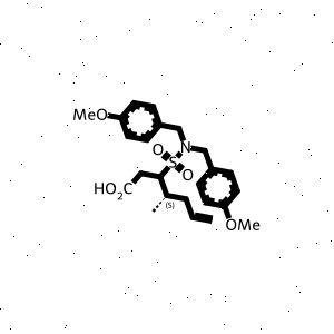 C=CC[C@H](C)C(CC(=O)O)S(=O)(=O)N(Cc1ccc(OC)cc1)Cc1ccc(OC)cc1